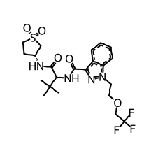 CC(C)(C)C(NC(=O)c1nn(CCOCC(F)(F)F)c2ccccc12)C(=O)N[C@@H]1CCS(=O)(=O)C1